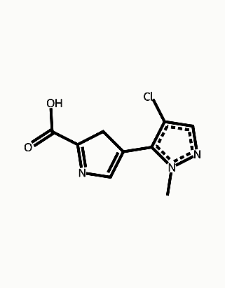 Cn1ncc(Cl)c1C1=CN=C(C(=O)O)C1